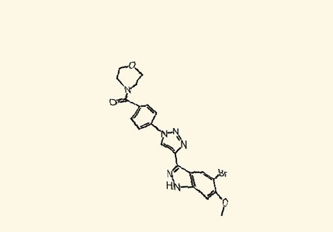 COc1cc2[nH]nc(-c3cn(-c4ccc(C(=O)N5CCOCC5)cc4)nn3)c2cc1Br